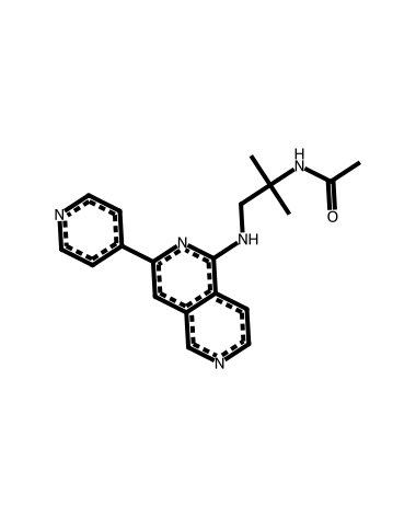 CC(=O)NC(C)(C)CNc1nc(-c2ccncc2)cc2cnccc12